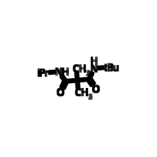 CC(C)NC(=O)C(C)(C)C(=O)NC(C)(C)C